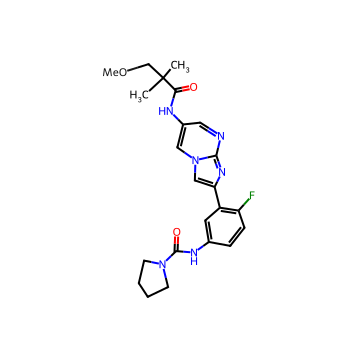 COCC(C)(C)C(=O)Nc1cnc2nc(-c3cc(NC(=O)N4CCCC4)ccc3F)cn2c1